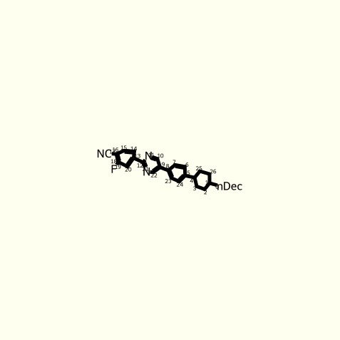 CCCCCCCCCCC1CCC(c2ccc(-c3cnc(-c4ccc(C#N)c(F)c4)nc3)cc2)CC1